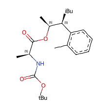 CCC(C)[C@@H](c1ccccc1C)[C@H](C)OC(=O)[C@H](C)NC(=O)OC(C)(C)C